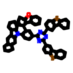 c1ccc2cc3c(cc2c1)c1ccccc1n3-c1ccc(-c2nc(-c3ccc4sc5ccccc5c4c3)nc(-c3ccc4sc5ccccc5c4c3)n2)cc1-c1cccc2oc3ccccc3c12